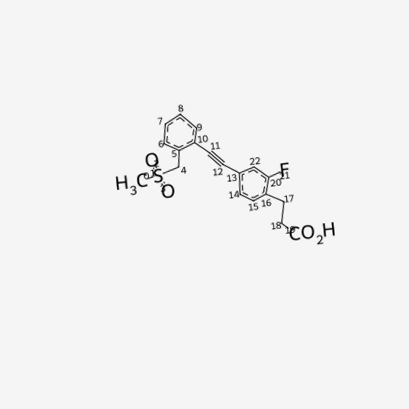 CS(=O)(=O)Cc1ccccc1C#Cc1ccc(CCC(=O)O)c(F)c1